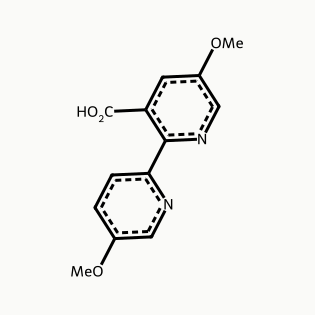 COc1ccc(-c2ncc(OC)cc2C(=O)O)nc1